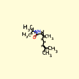 CC(C)=CCCC1(C)CC1C(=O)NC(C)C